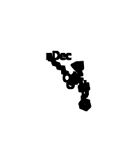 CCCCCCCCCCCCCCCCCCOc1cn(Cc2ccccc2)c(CN2CCN(CCc3ccccc3)CC2)cc1=O